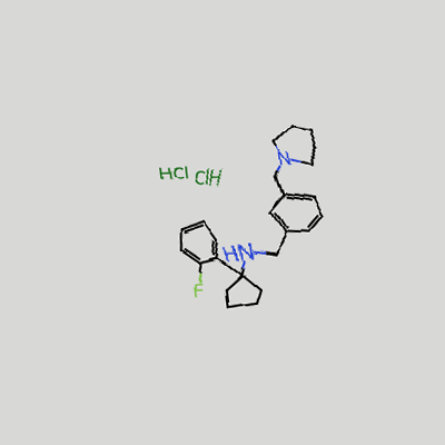 Cl.Cl.Fc1ccccc1C1(NCc2cccc(CN3CCCCC3)c2)CCCC1